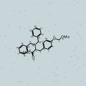 COCOc1ccc(C[C@@H](C(=O)OC)N(Cc2ccccc2)Cc2ccccc2)cc1